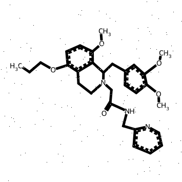 CCCOc1ccc(OC)c2c1CCN(CC(=O)NCc1ccccn1)C2Cc1ccc(OC)c(OC)c1